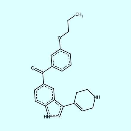 CCCOc1cccc(C(=O)c2ccc3[nH]cc(C4=CCNCC4)c3c2)c1